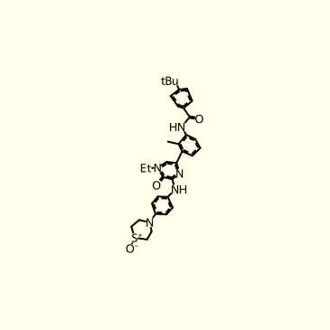 CCn1cc(-c2cccc(NC(=O)c3ccc(C(C)(C)C)cc3)c2C)nc(Nc2ccc(N3CC[S+]([O-])CC3)cc2)c1=O